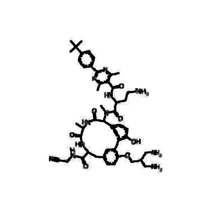 Cc1nc(-c2ccc(C(C)(C)C)cc2)nc(C)c1C(=O)NC(CCN)C(=O)N(C)C1C(=O)NC(C)C(=O)NC(C(=O)NCC#N)Cc2ccc(OCC(CN)CN)c(c2)-c2cc1ccc2O